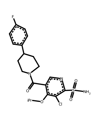 CC(C)Oc1c(C(=O)N2CCC(c3ccc(F)cc3)CC2)cnc(S(N)(=O)=O)c1Cl